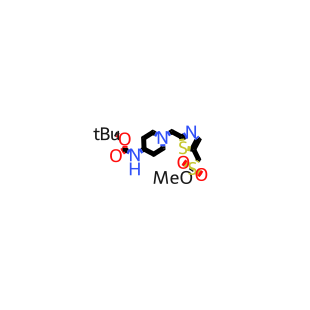 COS(=O)(=O)Cc1cnc(CN2CCC(NC(=O)OC(C)(C)C)CC2)s1